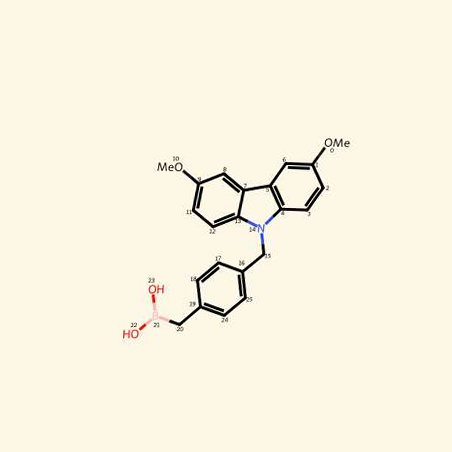 COc1ccc2c(c1)c1cc(OC)ccc1n2Cc1ccc(CB(O)O)cc1